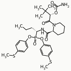 CCC[C@H](NC(=O)[C@@H]1CCCCN1C(=O)[C@@H](OC(N)=O)C(C)(C)C)P(=O)(Oc1ccc(SC)cc1)Oc1ccc(SC)cc1